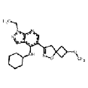 CCn1ncc2c(NC3CCCCC3)c(C3=NOC4(C3)CC(OC)C4)cnc21